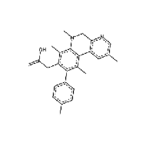 C=C(O)Cc1c(C)c2c(c(C)c1-c1ccc(C)cc1)-c1cc(C)cnc1CN2C